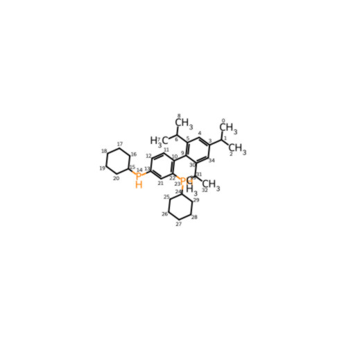 CC(C)c1cc(C(C)C)c(-c2ccc(PC3CCCCC3)cc2PC2CCCCC2)c(C(C)C)c1